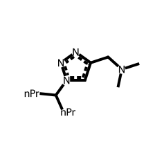 CCCC(CCC)n1cc(CN(C)C)nn1